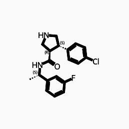 C[C@H](NC(=O)[C@H]1CNC[C@@H]1c1ccc(Cl)cc1)c1cccc(F)c1